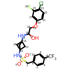 O=S(=O)(Cc1ccc(C(F)(F)F)cc1)NC12CC(NC(O)COc3ccc(Cl)c(F)c3)(C1)C2